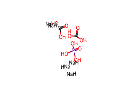 O=C(O)O.O=P(O)(O)O.O=[Si](O)O.[NaH].[NaH].[NaH].[NaH].[NaH]